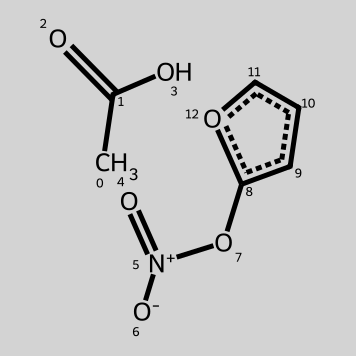 CC(=O)O.O=[N+]([O-])Oc1ccco1